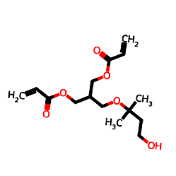 C=CC(=O)OCC(COC(=O)C=C)COC(C)(C)CCO